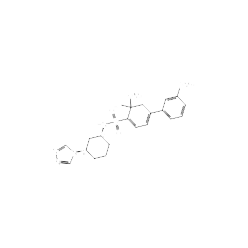 CCC1(OC)CC(c2cccc(OC)c2)=CC=C1S(=O)(=O)N[C@H]1CCC[C@@H](n2cnnc2)C1